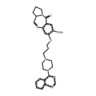 COc1cc2c(cc1OCCCN1CCN(c3ncnc4ccccc34)CC1)N=CC1CCCN1C2=O